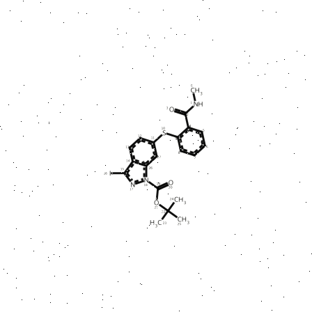 CNC(=O)c1ccccc1Sc1ccc2c(I)nn(C(=O)OC(C)(C)C)c2c1